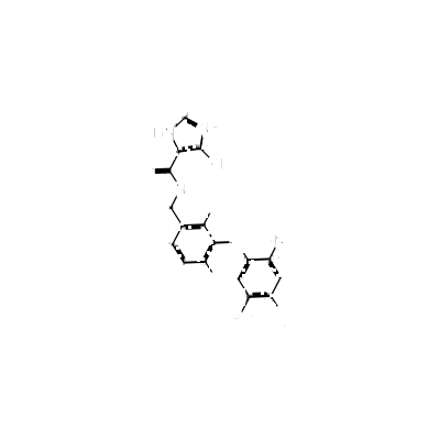 O=C(NCc1ccc(Cl)c(Oc2cc(Br)c(F)cc2[N+](=O)[O-])c1F)c1[nH]cnc1Cl